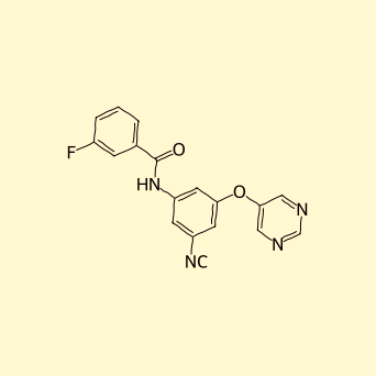 [C-]#[N+]c1cc(NC(=O)c2cccc(F)c2)cc(Oc2cncnc2)c1